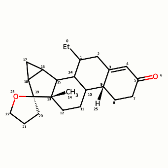 CCC1CC2=CC(=O)CC[C@@H]2C2CC[C@@]3(C)C(C4CC4[C@@]34CCCO4)C12